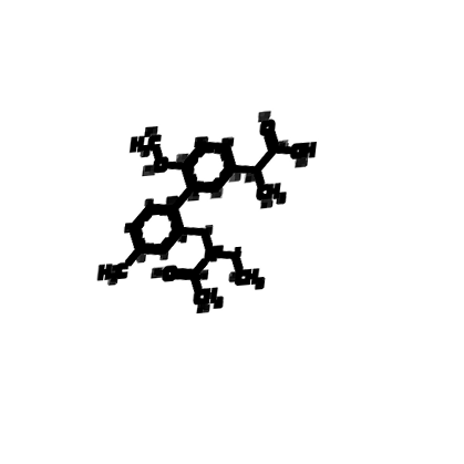 CCN(Cc1cc(C)ccc1-c1cc(C(C)C(=O)O)ccc1OC)C(C)=O